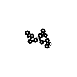 CC1(C)c2ccccc2-c2cccc(-c3ccccc3-c3ccc(N(c4cccc(-c5cccc6oc7ccccc7c56)c4)c4ccc5c(c4)C4(CCCC4)c4ccccc4-5)cc3)c21